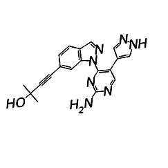 CC(C)(O)C#Cc1ccc2cnn(-c3nc(N)ncc3-c3cn[nH]c3)c2c1